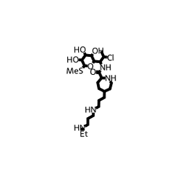 CCNCCCNCCCC1CCNC(C(=O)NC(C(C)Cl)C2OC(SC)C(O)C(O)C2O)CC1